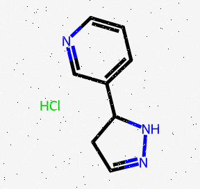 C1=NNC(c2cccnc2)C1.Cl